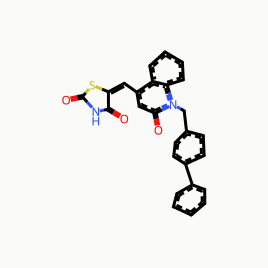 O=C1NC(=O)C(=Cc2cc(=O)n(Cc3ccc(-c4ccccc4)cc3)c3ccccc23)S1